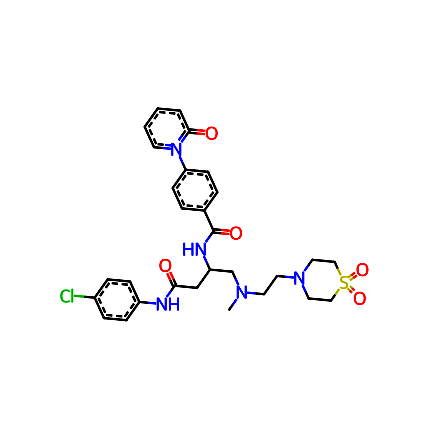 CN(CCN1CCS(=O)(=O)CC1)CC(CC(=O)Nc1ccc(Cl)cc1)NC(=O)c1ccc(-n2ccccc2=O)cc1